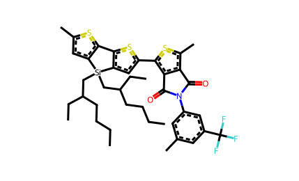 CCCCC(CC)C[Si]1(CC(CC)CCCC)c2cc(C)sc2-c2sc(-c3sc(C)c4c3C(=O)N(c3cc(C)cc(C(F)(F)F)c3)C4=O)cc21